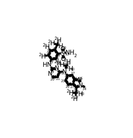 [2H]c1c([2H])c(C([2H])([2H])[2H])c(S(N)(=O)=O)c([2H])c1Nc1nccc(N(c2ccc3c(C([2H])([2H])[2H])n(C)nc3c2)C([2H])([2H])[2H])n1